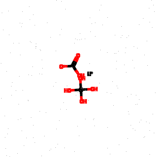 O=C([O-])O.O[Si](O)(O)O.[Li+]